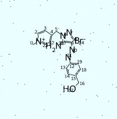 C[n+]1ccc(Cn2ncc(N=Nc3ccc(CO)cc3)c2N)cc1.[Br-]